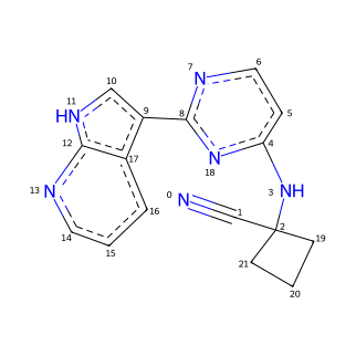 N#CC1(Nc2ccnc(-c3c[nH]c4ncccc34)n2)CCC1